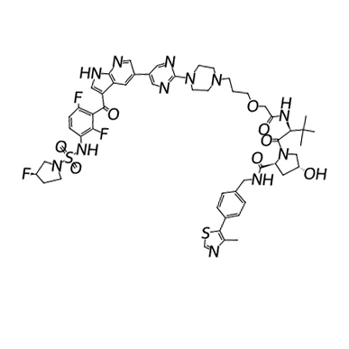 Cc1ncsc1-c1ccc(CNC(=O)[C@@H]2C[C@@H](O)CN2C(=O)[C@@H](NC(=O)COCCCN2CCN(c3ncc(-c4cnc5[nH]cc(C(=O)c6c(F)ccc(NS(=O)(=O)N7CC[C@@H](F)C7)c6F)c5c4)cn3)CC2)C(C)(C)C)cc1